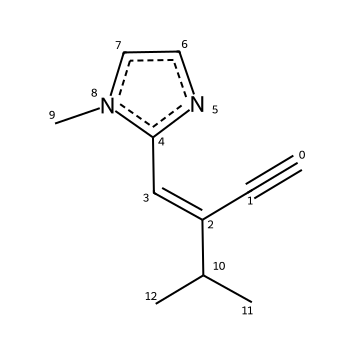 C#C/C(=C\c1nccn1C)C(C)C